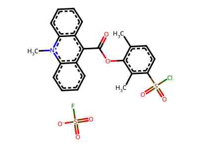 Cc1ccc(S(=O)(=O)Cl)c(C)c1OC(=O)c1c2ccccc2[n+](C)c2ccccc12.O=S(=O)([O-])F